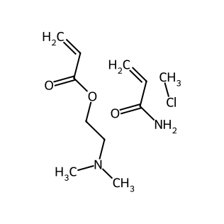 C=CC(=O)OCCN(C)C.C=CC(N)=O.CCl